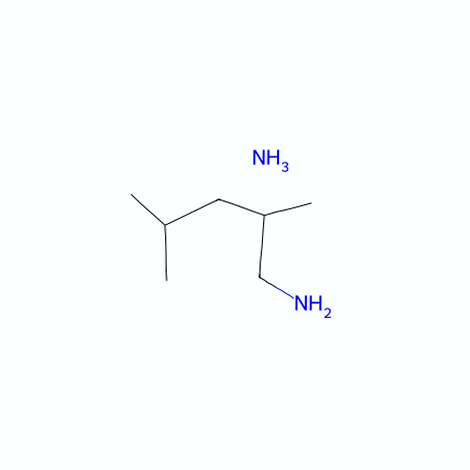 CC(C)CC(C)CN.N